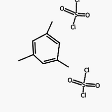 Cc1cc(C)cc(C)c1.O=S(=O)(Cl)Cl.O=S(=O)(Cl)Cl